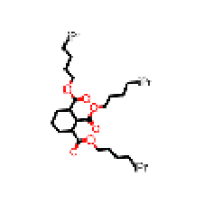 CC(C)CCCCOC(=O)C1CCCC(C(=O)OCCCCC(C)C)C1C(=O)OCCCCC(C)C